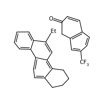 CCc1cc2c3c(ccc2c2ccccc12)CCCC3.O=C1C=Cc2ccc(C(F)(F)F)cc2C1